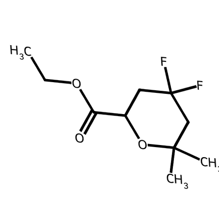 CCOC(=O)C1CC(F)(F)CC(C)(C)O1